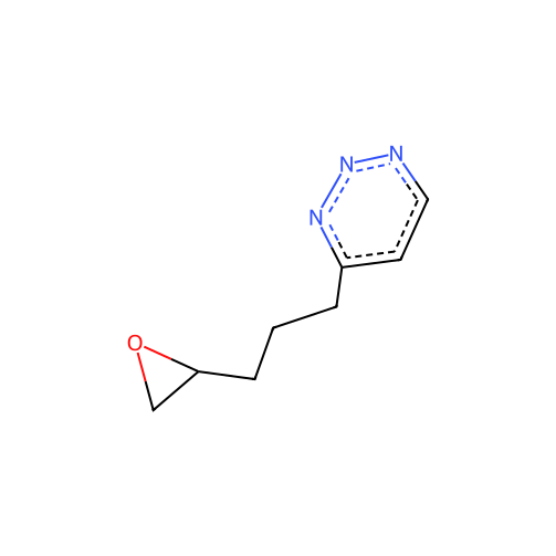 c1cc(CCCC2CO2)nnn1